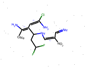 CO/C(N)=C(/C=C(\N)Cl)C(CC(F)F)N/C=C(\C=N)[N+](=O)[O-]